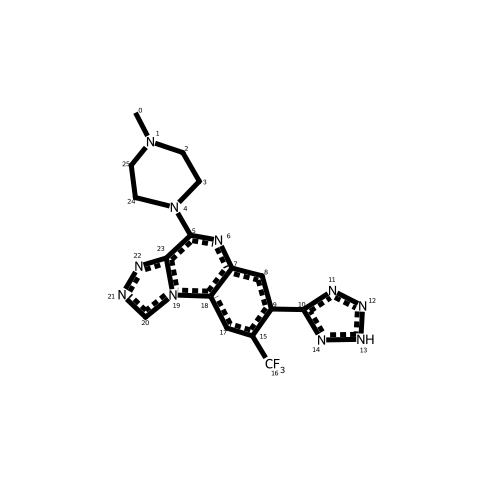 CN1CCN(c2nc3cc(-c4nn[nH]n4)c(C(F)(F)F)cc3n3cnnc23)CC1